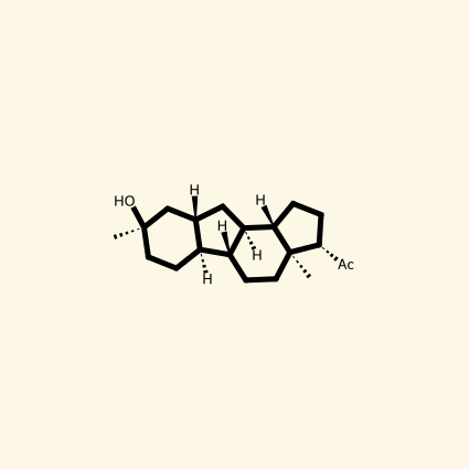 CC(=O)[C@H]1CC[C@H]2[C@@H]3C[C@H]4C[C@](C)(O)CC[C@@H]4[C@H]3CC[C@]12C